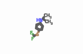 CC(C)Nc1ccc(SC(F)F)cc1